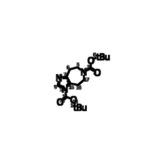 CC(C)(C)OC(=O)N1CCc2ncn(C(=O)OC(C)(C)C)c2CC1